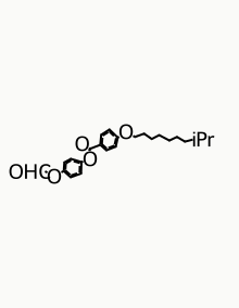 CC(C)CCCCCCCOc1ccc(C(=O)Oc2ccc(OC=O)cc2)cc1